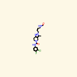 Cc1c2c(nn1C/C=C\CNC=O)CCN(C(=O)Nc1ccc(F)c(Cl)c1)C2